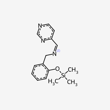 C[Si](C)(C)Oc1ccccc1C/N=C\c1ccncn1